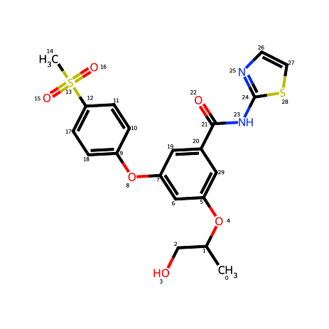 CC(CO)Oc1cc(Oc2ccc(S(C)(=O)=O)cc2)cc(C(=O)Nc2nccs2)c1